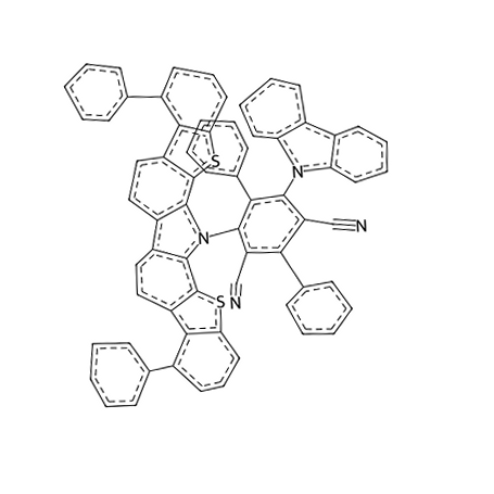 N#Cc1c(-c2ccccc2)c(C#N)c(-n2c3c(ccc4c3sc3cccc(-c5ccccc5)c34)c3ccc4c(sc5cccc(-c6ccccc6)c54)c32)c(-c2ccccc2)c1-n1c2ccccc2c2ccccc21